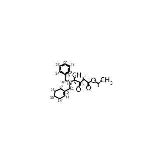 CCOC(=O)CC(=O)C(C)N(CC1=CCCCC1)Cc1ccccc1